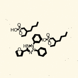 CCCCC(CC)CS(=O)(=O)O.CCCCC(CC)CS(=O)(=O)O.c1ccc(N2N=C(c3ccco3)NN2c2ccccc2)cc1